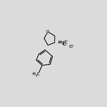 C1CCOC1.Cc1ccccc1.[Cl-].[Cl-].[Mg+2]